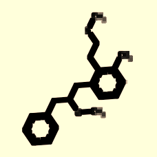 COC(Cc1ccccc1)Cc1cc[c]c(C)c1CCSC